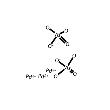 O=[As]([O-])([O-])[O-].O=[As]([O-])([O-])[O-].[Pd+2].[Pd+2].[Pd+2]